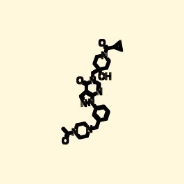 CC(=O)N1CCN(Cc2cccc(-n3ncc4c(=O)n(CC5(O)CCN(C(=O)C6CC6)CC5)cnc43)c2)CC1